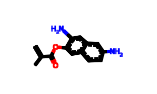 C=C(C)C(=O)Oc1cc2ccc(N)cc2cc1N